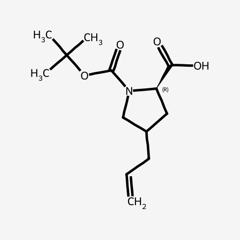 C=CCC1C[C@H](C(=O)O)N(C(=O)OC(C)(C)C)C1